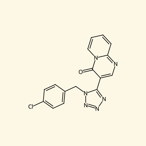 O=c1c(-c2nnnn2Cc2ccc(Cl)cc2)cnc2ccccn12